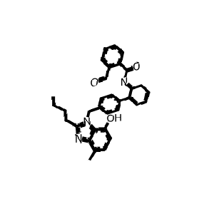 CCCCc1nc2c(C)ccc(O)c2n1Cc1ccc(C2=CC=CCC2=NC(=O)c2ccccc2C=O)cc1